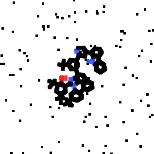 CC(C)(C)c1cc(-c2cc(-c3cccc4c3[nH]c3ccccc34)ccn2)cc(-c2cccc3c2nc(-c2cc(C(C)(C)C)cc(C(C)(C)C)c2O)n3-c2cc(C(C)(C)C)ccc2-c2ccccc2)c1